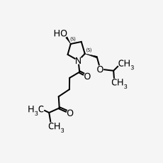 CC(C)OC[C@@H]1C[C@H](O)CN1C(=O)CCCC(=O)C(C)C